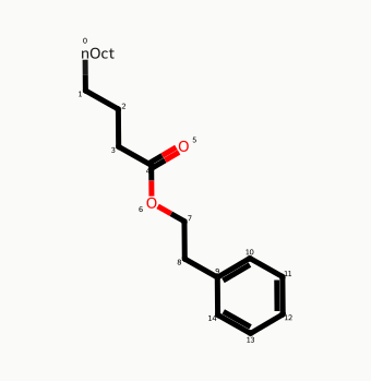 CCCCCCCCCCCC(=O)OCCc1ccccc1